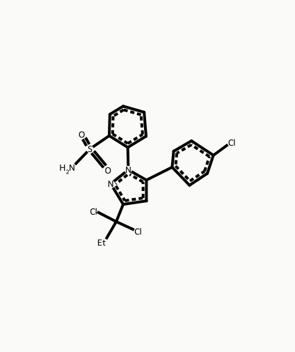 CCC(Cl)(Cl)c1cc(-c2ccc(Cl)cc2)n(-c2ccccc2S(N)(=O)=O)n1